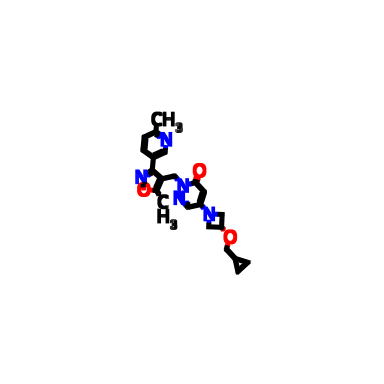 Cc1ccc(-c2noc(C)c2Cn2ncc(N3CC(OCC4CC4)C3)cc2=O)cn1